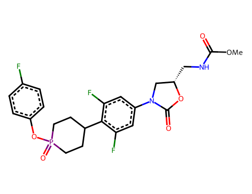 COC(=O)NC[C@H]1CN(c2cc(F)c(C3CCP(=O)(Oc4ccc(F)cc4)CC3)c(F)c2)C(=O)O1